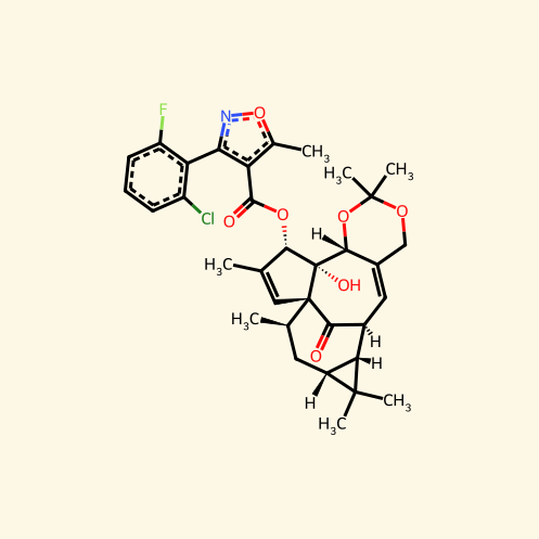 CC1=C[C@]23C(=O)[C@@H](C=C4COC(C)(C)O[C@H]4[C@]2(O)[C@H]1OC(=O)c1c(-c2c(F)cccc2Cl)noc1C)[C@H]1[C@@H](C[C@H]3C)C1(C)C